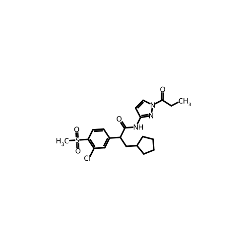 CCC(=O)n1ccc(NC(=O)C(CC2CCCC2)c2ccc(S(C)(=O)=O)c(Cl)c2)n1